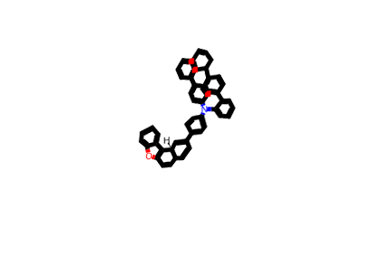 C1=CCC(c2ccc(-c3ccccc3N(c3ccc(C4=C[C@@H]5c6c(oc7ccccc67)C=CC5C=C4)cc3)c3ccc(-c4ccccc4)cc3)cc2)C=C1